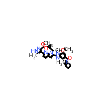 COC(=O)c1n[nH]c(C)c1-c1ccc2cc(-c3nc4cc(C(=O)N5CC6CCC5[C@@H]6C)cc(OC)c4n3C)n(CC3CC3)c2n1